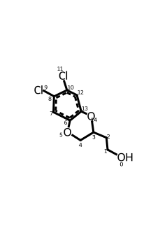 OCCC1COc2cc(Cl)c(Cl)cc2O1